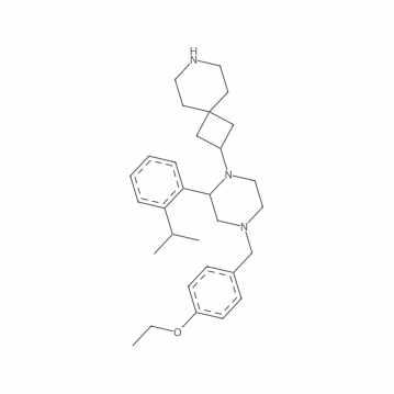 CCOc1ccc(CN2CCN(C3CC4(CCNCC4)C3)C(c3ccccc3C(C)C)C2)cc1